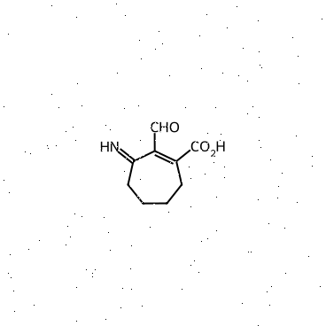 N=C1CCCCC(C(=O)O)=C1C=O